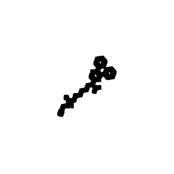 C#CCNC(=O)COCCCCN(c1cnc(-c2ccccc2)c(-c2ccccc2)n1)C(C)C